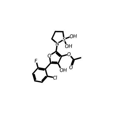 CC(=O)Oc1c(N2CCCS2(O)O)oc(-c2c(F)cccc2Cl)c1O